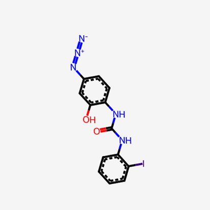 [N-]=[N+]=Nc1ccc(NC(=O)Nc2ccccc2I)c(O)c1